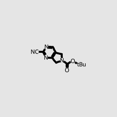 CC(C)(C)OC(=O)N1Cc2cnc(C#N)nc2C1